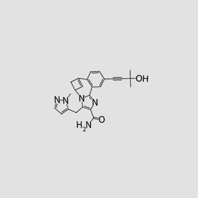 Cn1nccc1Cc1c(C(N)=O)nc2n1C1C=C(C1)c1ccc(C#CC(C)(C)O)cc1-2